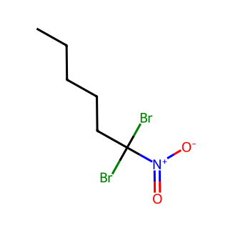 CCCCCC(Br)(Br)[N+](=O)[O-]